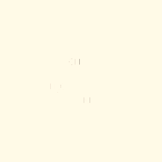 C=C(C)c1ccccc1.[KH]